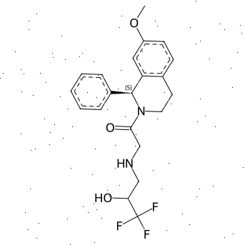 COc1ccc2c(c1)[C@H](c1ccccc1)N(C(=O)CNCC(O)C(F)(F)F)CC2